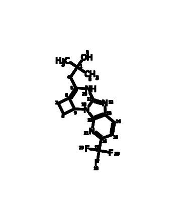 CC(C)(O)CC1=C2CCC2n2c(nc3ccc(C(F)(F)F)nc32)N1